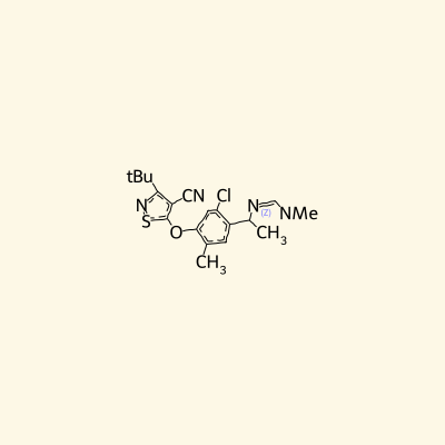 CN/C=N\C(C)c1cc(C)c(Oc2snc(C(C)(C)C)c2C#N)cc1Cl